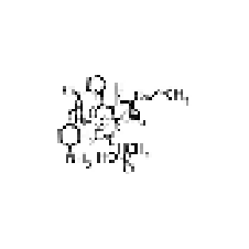 CC(=O)O.CCCOC(=O)N[C@@H](C(=O)N1CCC[C@H]1C(=O)NC[C@H]1CC[C@H](N)CC1)C(C)(C)SC(C)C